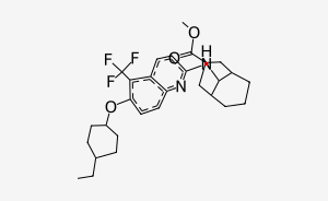 CCC1CCC(Oc2ccc3nc(NC4C5CCCC4CC(C(=O)OC)C5)ccc3c2C(F)(F)F)CC1